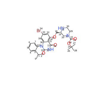 CC(C)c1ccccc1-n1c(=O)[nH]c(=O)c2c(OC[C@@H]3CN(C(=O)OC(C)(C)C)CCN3)cc(Br)cc21